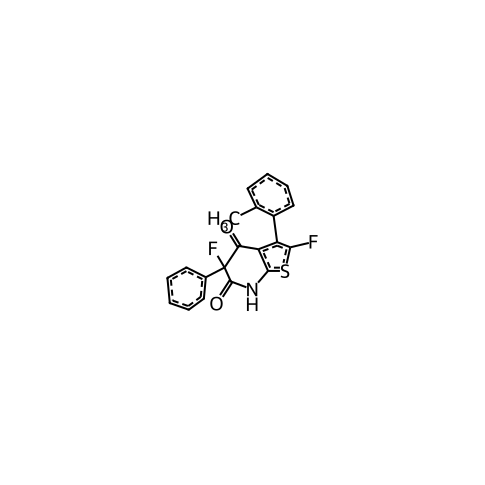 Cc1ccccc1-c1c(F)sc2c1C(=O)C(F)(c1ccccc1)C(=O)N2